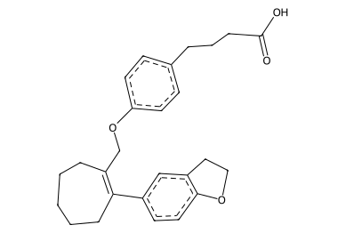 O=C(O)CCCc1ccc(OCC2=C(c3ccc4c(c3)CCO4)CCCCC2)cc1